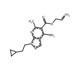 C=CCOC(=O)c1c(C)nc2c(cnn2CCC2CC2)c1N